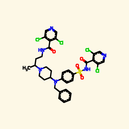 CC(CCNC(=O)c1c(Cl)cncc1Cl)N1CCC(N(Cc2ccccc2)c2ccc(S(=O)(=O)NC(=O)c3c(Cl)cncc3Cl)cc2)CC1